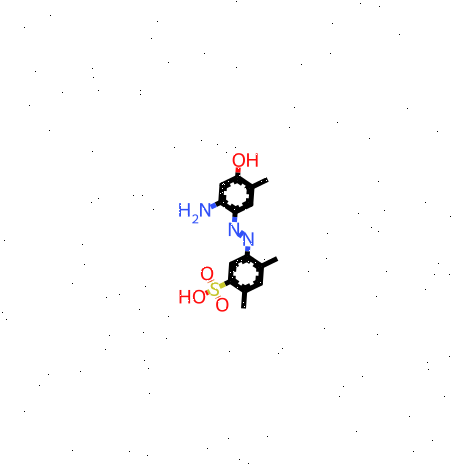 Cc1cc(N=Nc2cc(S(=O)(=O)O)c(C)cc2C)c(N)cc1O